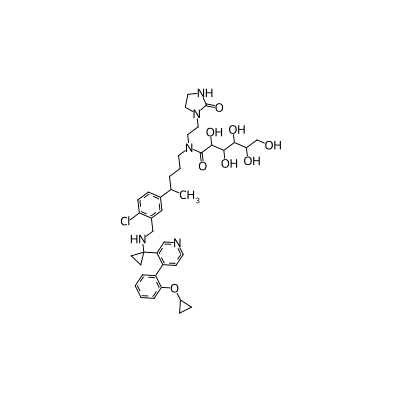 CC(CCCN(CCN1CCNC1=O)C(=O)C(O)C(O)C(O)C(O)CO)c1ccc(Cl)c(CNC2(c3cnccc3-c3ccccc3OC3CC3)CC2)c1